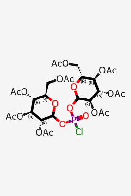 CC(=O)OC[C@H]1OC(OP(=O)(Cl)OC2O[C@H](COC(C)=O)[C@@H](OC(C)=O)[C@H](OC(C)=O)[C@H]2OC(C)=O)[C@H](OC(C)=O)[C@@H](OC(C)=O)[C@@H]1OC(C)=O